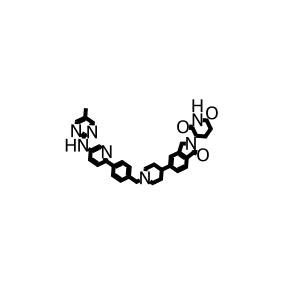 Cc1cnc(Nc2ccc(-c3ccc(CN4CCC(c5ccc6c(c5)CN(C5CCC(=O)NC5=O)C6=O)CC4)cc3)nc2)nc1